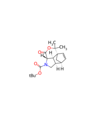 CC(C)(C)OC(=O)N1C[C@H]2[C@H]3[C@H]1C(=O)OC(C)(C)[C@@]31C=C[C@@H]2C1